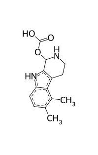 Cc1ccc2[nH]c3c(c2c1C)CCNC3OC(=O)O